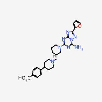 Nc1nc(N2CCC[C@@H](CN3CCC(c4ccc(C(=O)O)cc4)CC3)C2)nc2nc(-c3ccco3)nn12